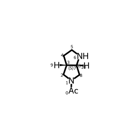 CC(=O)N1C[C@@H]2CCN[C@@H]2C1